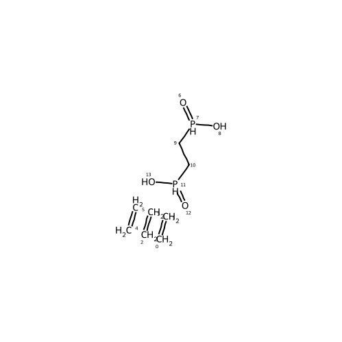 C=C.C=C.C=C.O=[PH](O)CC[PH](=O)O